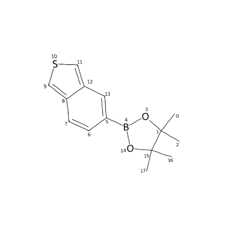 CC1(C)OB(c2ccc3cscc3c2)OC1(C)C